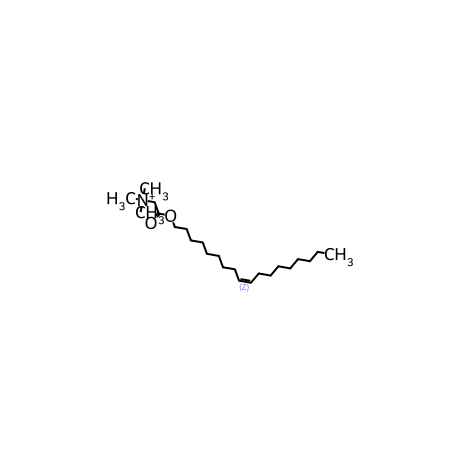 CCCCCCCC/C=C\CCCCCCCCOC(=O)C[N+](C)(C)C